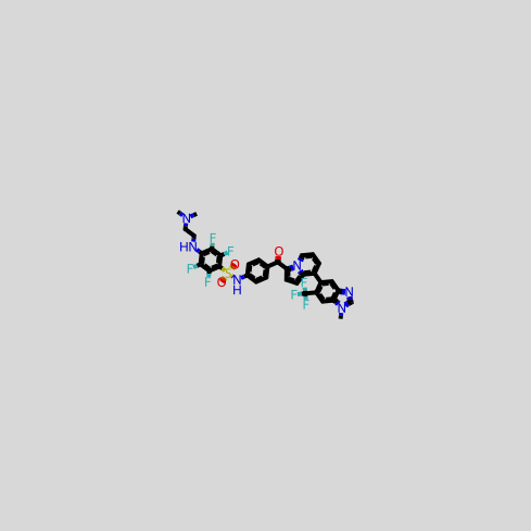 CN(C)CCNc1c(F)c(F)c(S(=O)(=O)Nc2ccc(C(=O)c3ccc4c(-c5cc6ncn(C)c6cc5C(F)(F)F)cccn34)cc2)c(F)c1F